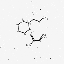 C=CC(N)=O.CCC[SiH]1CCCCO1